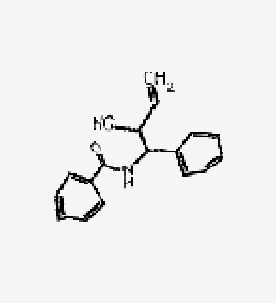 C=CC(O)C(NC(=O)c1ccccc1)c1ccccc1